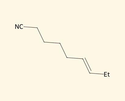 [CH2]CC=CCCCCC#N